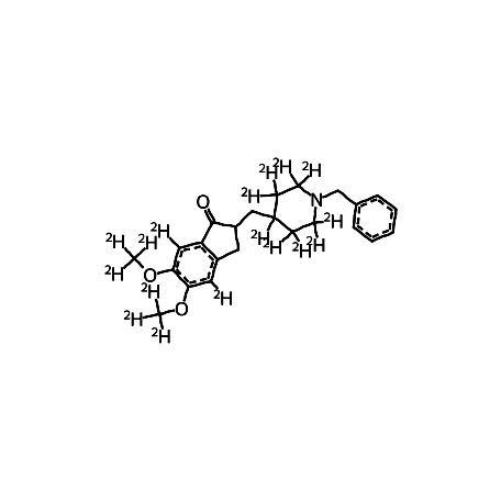 [2H]c1c2c(c([2H])c(OC([2H])([2H])[2H])c1OC([2H])([2H])[2H])C(=O)C(CC1([2H])C([2H])([2H])C([2H])([2H])N(Cc3ccccc3)C([2H])([2H])C1([2H])[2H])C2